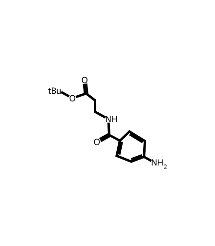 CC(C)(C)OC(=O)CCNC(=O)c1ccc(N)cc1